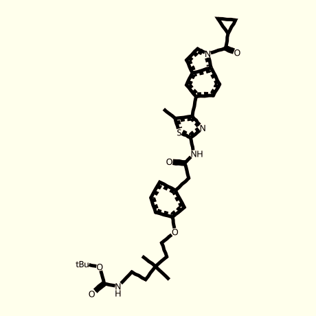 Cc1sc(NC(=O)Cc2cccc(OCCC(C)(C)CCNC(=O)OC(C)(C)C)c2)nc1-c1ccc2c(ccn2C(=O)C2CC2)c1